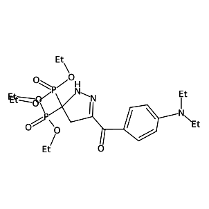 CCOP(=O)(OCC)C1(P(=O)(OCC)OCC)CC(C(=O)c2ccc(N(CC)CC)cc2)=NN1